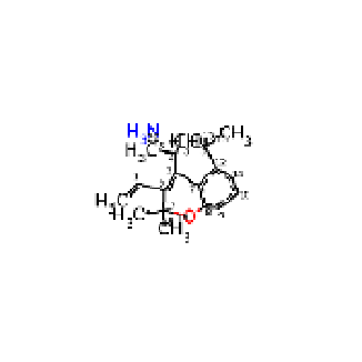 C=CC1=C(C(C)C)c2c(cccc2C(C)C)OC1(C)C.N